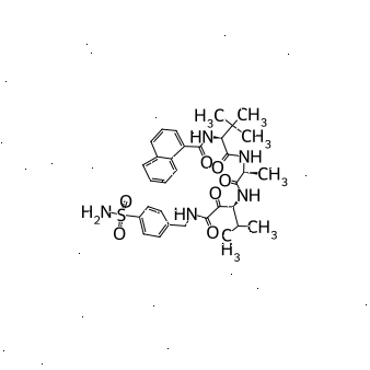 CC(C)[C@H](NC(=O)[C@H](C)NC(=O)[C@@H](NC(=O)c1cccc2ccccc12)C(C)(C)C)C(=O)C(=O)NCc1ccc(S(N)(=O)=O)cc1